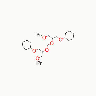 CC(C)OCC(COC1CCCCC1)OCOC(COC(C)C)COC1CCCCC1